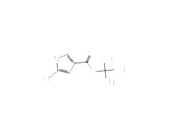 CC(C)(C)OC(=O)c1c[nH]c(Cl)c1